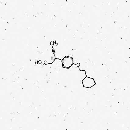 CC#C[C@@H](CC(=O)O)c1ccc(OCCC2CCCCC2)cc1